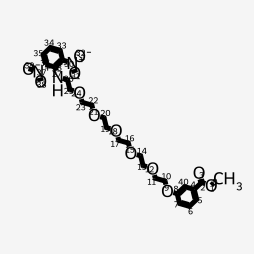 COC(=O)c1cccc(OCCOCCOCCOCCOCCOCCNc2c([N+](=O)[O-])cccc2[N+](=O)[O-])c1